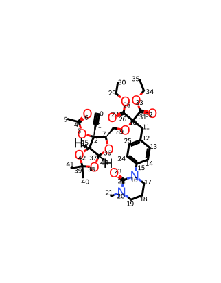 C#C[C@@]1(OC(C)=O)[C@@H](COC(Cc2ccc(N3CCCN(C)C3=O)cc2)(C(=O)OCC)C(=O)OCC)O[C@@H]2OC(C)(C)O[C@@H]21